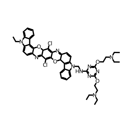 CCN(CC)CCOc1nc(NCn2c3c(c4ccccc42)C2OC4=C(Cl)C5=Nc6ccc7c(c6OC5C(Cl)=C4N=C2C=C3)c2ccccc2n7CC)nc(OCCN(CC)CC)n1